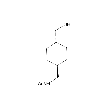 CC(=O)NC[C@H]1CC[C@H](CO)CC1